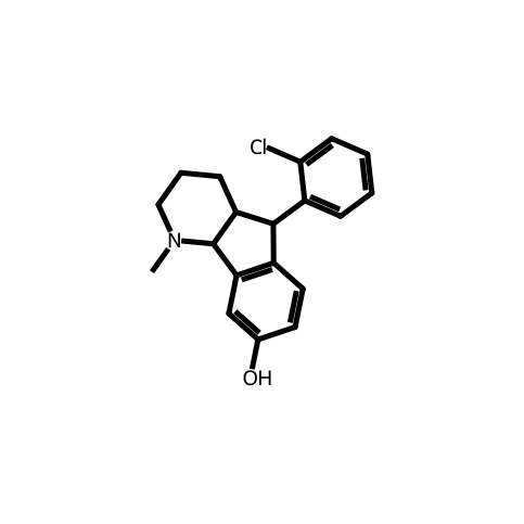 CN1CCCC2C(c3ccccc3Cl)c3ccc(O)cc3C21